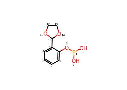 OP(O)Oc1ccccc1C1OCCO1